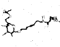 CC(=O)OCC1O[C@@H](OCCCCCCNC(=O)CN)C(C)[C@@H](C)[C@H]1C